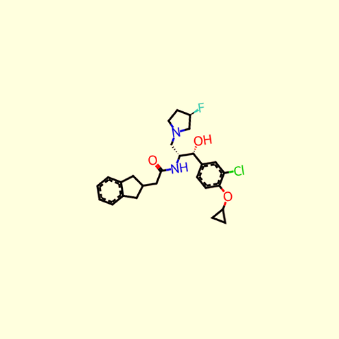 O=C(CC1Cc2ccccc2C1)N[C@H](CN1CC[C@@H](F)C1)[C@H](O)c1ccc(OC2CC2)c(Cl)c1